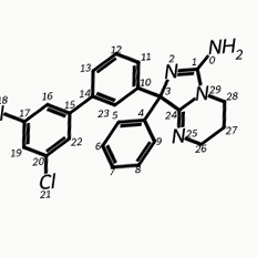 NC1=NC(c2ccccc2)(c2cccc(-c3cc(Cl)cc(Cl)c3)c2)C2=NCCCN12